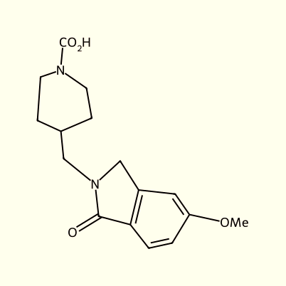 COc1ccc2c(c1)CN(CC1CCN(C(=O)O)CC1)C2=O